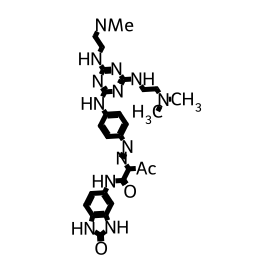 CNCCNc1nc(NCCN(C)C)nc(Nc2ccc(N=NC(C(C)=O)C(=O)Nc3ccc4[nH]c(=O)[nH]c4c3)cc2)n1